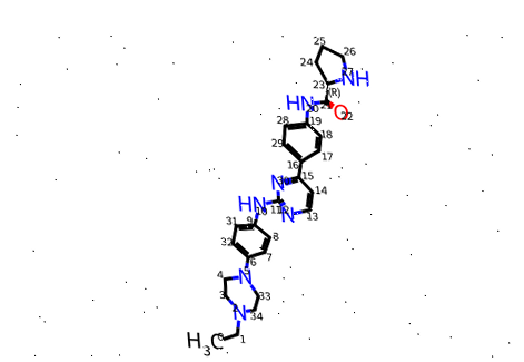 CCN1CCN(c2ccc(Nc3nccc(-c4ccc(NC(=O)[C@H]5CCCN5)cc4)n3)cc2)CC1